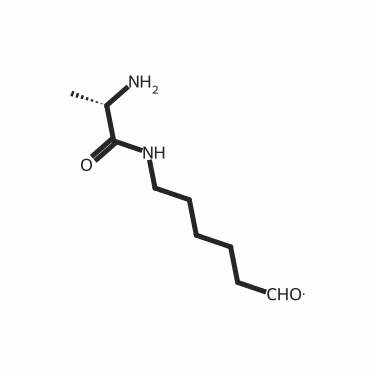 C[C@H](N)C(=O)NCCCCC[C]=O